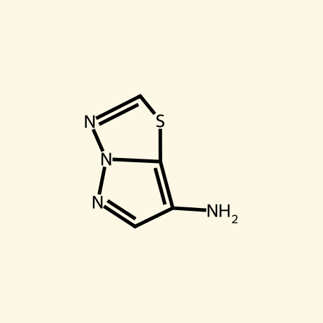 Nc1cnn2ncsc12